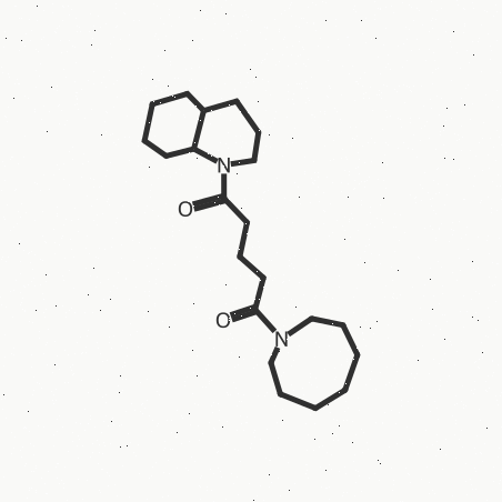 O=C(CCCC(=O)N1CCCC2CCCCC21)N1CCCCCCC1